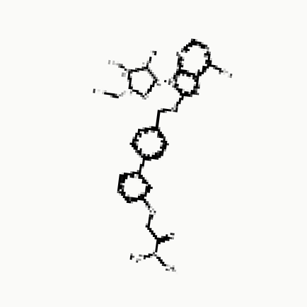 CN(C)C(=O)COc1cccc(-c2ccc(CNc3nc4c(N)ncnc4n3[C@@H]3O[C@H](CO)[C@@H](O)[C@H]3O)cc2)c1